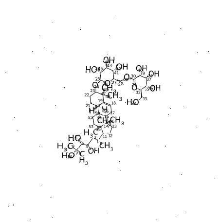 C[C@H](CC(O)C(O)C(C)(C)O)[C@H]1CC[C@@]2(C)[C@@H]3CC=C4[C@@H](CC[C@H](O[C@@H]5O[C@H](CO[C@@H]6O[C@H](CO)[C@@H](O)[C@H](O)[C@H]6O)[C@@H](O)[C@H](O)[C@H]5O)C4(C)C)[C@]3(C)CC[C@]12C